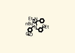 CCCCn1c(CC)nc(-c2ccccc2)c1CN(Cc1cccc(OCC)c1)Cc1ccc2c(c1)OCO2